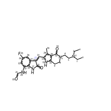 CCN(CC)CCN1CCc2[nH]c(/C=C3\C(=O)Nc4c(NC=O)cc(F)cc43)c(C)c2C1=O